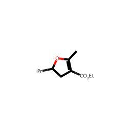 CCOC(=O)C1=C(C)OC(C(C)C)C1